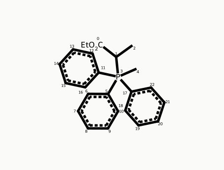 CCOC(=O)C(C)P(C)(c1ccccc1)(c1ccccc1)c1ccccc1